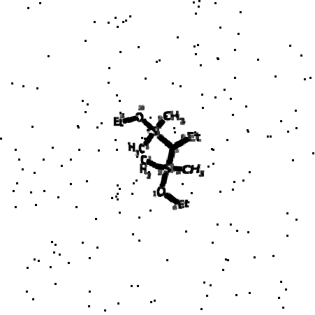 CCO[Si](C)(C)C(CC)[Si](C)(C)OCC